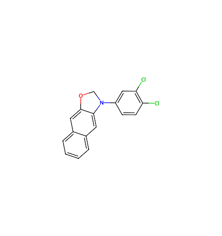 Clc1ccc(N2COc3cc4ccccc4cc32)cc1Cl